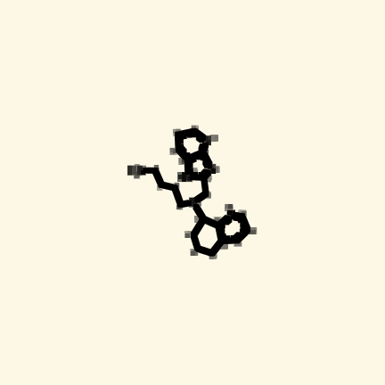 NCCCCN(Cc1nc2ncccc2[nH]1)C1CCCc2cccnc21